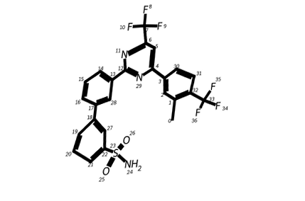 Cc1cc(-c2cc(C(F)(F)F)nc(-c3cccc(-c4cccc(S(N)(=O)=O)c4)c3)n2)ccc1C(F)(F)F